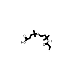 CC(C)(CCOC(C)(C)CCC(=O)O)NC(=O)CI